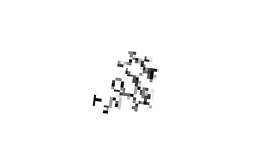 NC(=O)c1ccnn1-c1ccccc1F